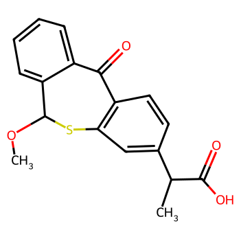 COC1Sc2cc(C(C)C(=O)O)ccc2C(=O)c2ccccc21